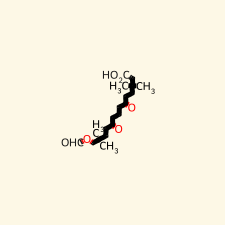 CC(C)(CCC(=O)CCCC(=O)CCC(C)(C)CC(=O)O)COC=O